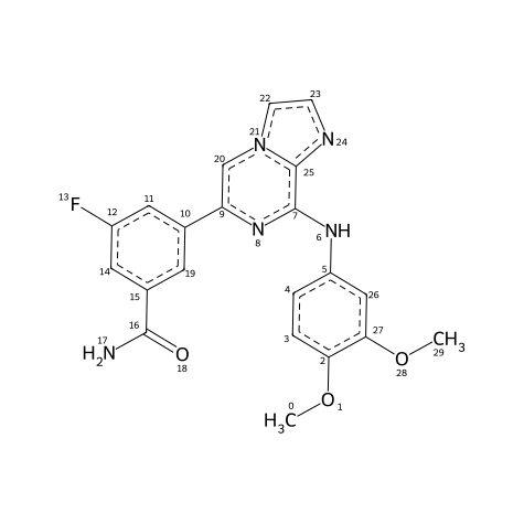 COc1ccc(Nc2nc(-c3cc(F)cc(C(N)=O)c3)cn3ccnc23)cc1OC